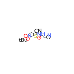 CC(C)(C)OC(=O)N1CCC2=C(C1)SC(NC(=O)CCc1cccnc1)C2C#N